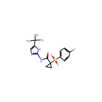 CC(C)(C)c1cnc(NC(=O)C2(S(=O)(=O)c3ccc(Cl)cc3)CC2)[nH]1